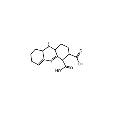 O=C(O)C1CCC2NC3CCCC=C3N=C2C1C(=O)O